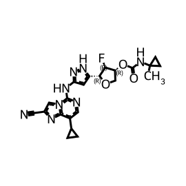 CC1(NC(=O)O[C@@H]2CO[C@H](c3cc(Nc4ncc(C5CC5)c5nc(C#N)cn45)n[nH]3)[C@H]2F)CC1